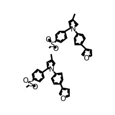 Cc1cc(-c2ccc(S(C)(=O)=O)cc2)n(-c2ccc(-c3ccoc3)cc2)c1.Cc1cc(-c2ccc(S(C)(=O)=O)cc2)n(-c2ccc(-c3ccoc3)cc2)c1